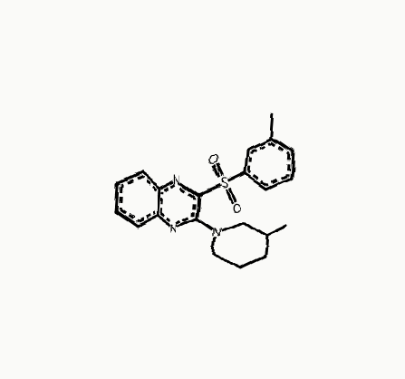 Cc1cccc(S(=O)(=O)c2nc3ccccc3nc2N2CCCC(C)C2)c1